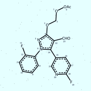 CC(=O)OOCOc1nn(-c2ccccc2F)c(-c2ccc(F)nc2)c1C=O